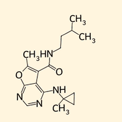 Cc1oc2ncnc(NC3(C)CC3)c2c1C(=O)NCCC(C)C